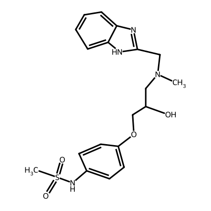 CN(Cc1nc2ccccc2[nH]1)CC(O)COc1ccc(NS(C)(=O)=O)cc1